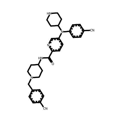 N#Cc1ccc(CN2CCC(NC(=O)c3ccc(N(c4ccc(C#N)cc4)C4CCNCC4)cn3)CC2)cc1